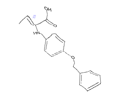 C/C=C(\Nc1ccc(OCc2ccccc2)cc1)C(=O)O